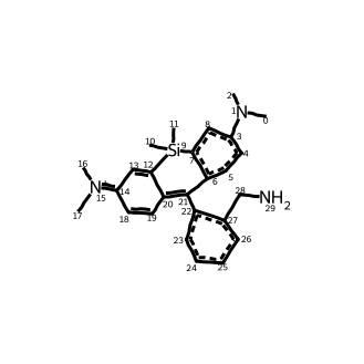 CN(C)c1ccc2c(c1)[Si](C)(C)C1=CC(=[N+](C)C)C=CC1=C2c1ccccc1CN